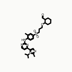 Cc1cc(S(=O)(=O)CCCOC2CCCCC2C=O)ccc1Nc1nccc(-c2cnc(C)n2C(C)C)n1